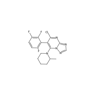 CC1CCCCN1c1c(-c2c(F)ccc(F)c2F)c(Cl)nc2ncnn12